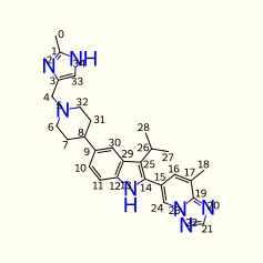 Cc1nc(CN2CCC(c3ccc4[nH]c(-c5cc(C)c6ncnn6c5)c(C(C)C)c4c3)CC2)c[nH]1